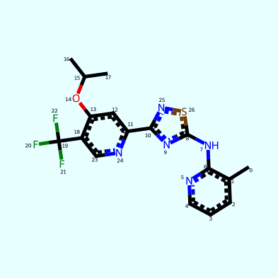 Cc1cccnc1Nc1nc(-c2cc(OC(C)C)c(C(F)(F)F)cn2)ns1